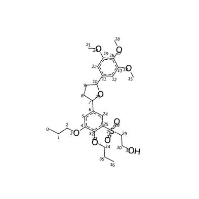 CCCOc1cc(C2CCC(c3cc(OC)c(OC)c(OC)c3)O2)cc(S(=O)(=O)CCO)c1OCCC